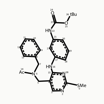 CSc1ncc(CN(Cc2ccccc2)C(C)=O)c(Nc2cccc(NC(=O)OC(C)(C)C)c2)n1